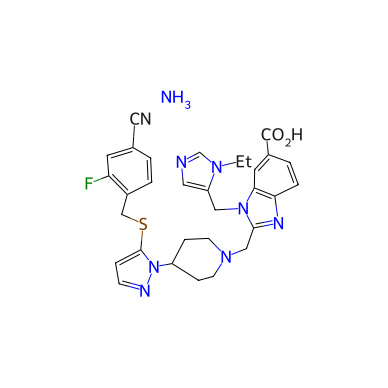 CCn1cncc1Cn1c(CN2CCC(n3nccc3SCc3ccc(C#N)cc3F)CC2)nc2ccc(C(=O)O)cc21.N